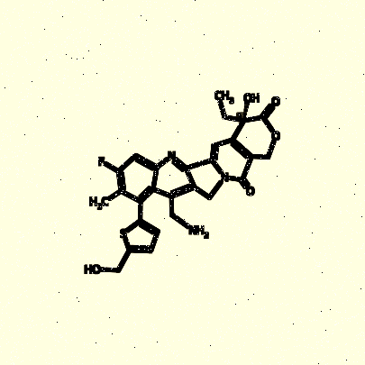 CC[C@@]1(O)C(=O)OCc2c1cc1n(c2=O)Cc2c-1nc1cc(F)c(C)c(-c3ccc(CO)s3)c1c2CN